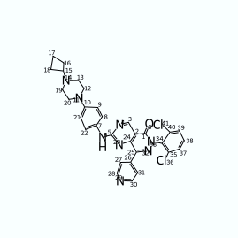 O=c1c2cnc(Nc3ccc(N4CCN(C5CCC5)CC4)cc3)nc2c(-c2ccncc2)nn1-c1c(Cl)cccc1Cl